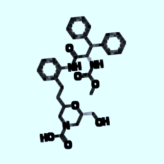 COC(=O)N[C@H](C(=O)Nc1ccccc1CCC1CN(C(=O)O)C[C@@H](CO)O1)C(c1ccccc1)c1ccccc1